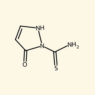 NC(=S)n1[nH]ccc1=O